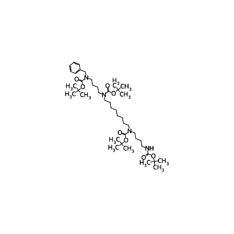 CC(C)(C)OC(=O)NCCCCN(CCCCCCCCN(CCCCN(Cc1ccccc1)C(=O)OC(C)(C)C)C(=O)OC(C)(C)C)C(=O)OC(C)(C)C